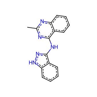 Cc1nc(Nc2n[nH]c3ccccc23)c2ccccc2n1